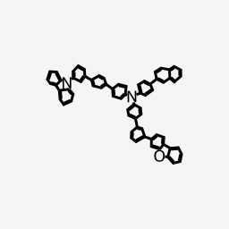 c1cc(-c2ccc(N(c3ccc(-c4ccc(-c5cccc(-n6c7ccccc7c7ccccc76)c5)cc4)cc3)c3ccc(-c4ccc5ccccc5c4)cc3)cc2)cc(-c2ccc3c(c2)oc2ccccc23)c1